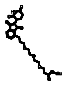 CC(C)(C)OC(=O)CCOCCOCCOCCCc1cccc2c1C(=O)N(C1CCC(=O)NC1=O)C2=O